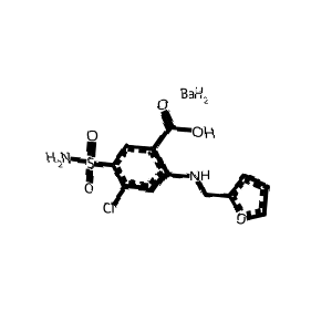 NS(=O)(=O)c1cc(C(=O)O)c(NCc2ccco2)cc1Cl.[BaH2]